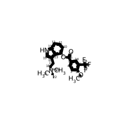 COc1ccc(C(=O)Oc2cccc3[nH]cc(CC[N+](C)(C)I)c23)cc1C(F)(F)F